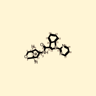 CN1[C@@H]2COC[C@H]1CC(NC(=O)c1cn(-c3ncccn3)c3ccccc13)C2